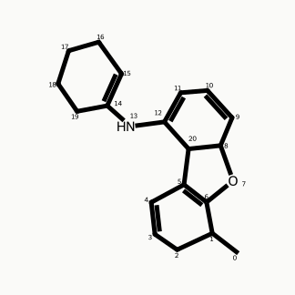 CC1CC=CC2=C1OC1C=CC=C(NC3=CCCCC3)C21